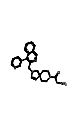 NCC(=O)N1CCC2(C=CN(Cc3ncc4ccccc4c3-c3cccnc3)C2)CC1